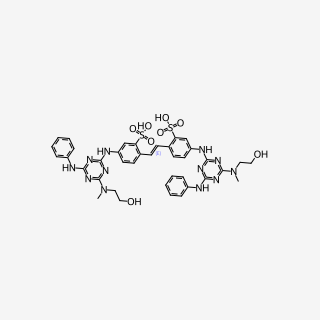 CN(CCO)c1nc(Nc2ccccc2)nc(Nc2ccc(/C=C/c3ccc(Nc4nc(Nc5ccccc5)nc(N(C)CCO)n4)cc3S(=O)(=O)O)c(S(=O)(=O)O)c2)n1